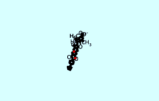 Cc1cc([N+](=O)[O-])c(C)c2c(=O)[nH]c(C3C(=O)c4cc5cc6c(cc5cc4C3=O)C(=O)N(c3ccc(C4=CC=CC4)cc3)C6=O)nc12